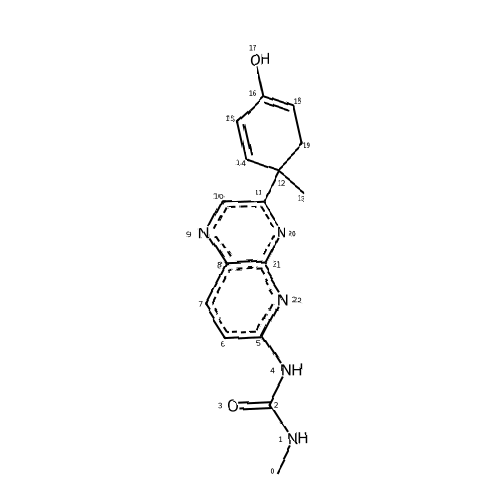 CNC(=O)Nc1ccc2ncc(C3(C)C=CC(O)=CC3)nc2n1